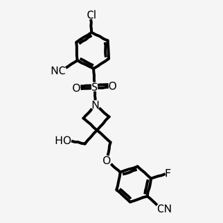 N#Cc1ccc(OCC2(CO)CN(S(=O)(=O)c3ccc(Cl)cc3C#N)C2)cc1F